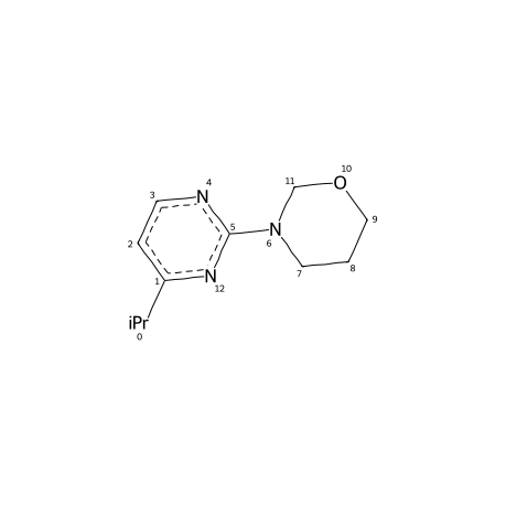 CC(C)c1ccnc(N2CCCOC2)n1